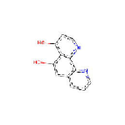 Oc1ccnc2c1c(O)cc1cccnc12